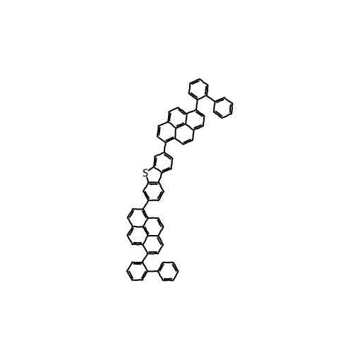 c1ccc(-c2ccccc2-c2ccc3ccc4c(-c5ccc6c(c5)sc5cc(-c7ccc8ccc9c(-c%10ccccc%10-c%10ccccc%10)ccc%10ccc7c8c%109)ccc56)ccc5ccc2c3c54)cc1